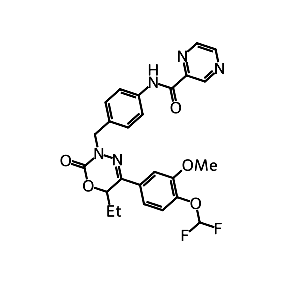 CCC1OC(=O)N(Cc2ccc(NC(=O)c3cnccn3)cc2)N=C1c1ccc(OC(F)F)c(OC)c1